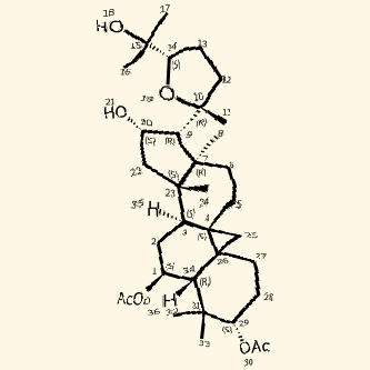 CC(=O)O[C@H]1C[C@@H]2[C@]3(CC[C@]4(C)[C@@H]([C@@]5(C)CC[C@@H](C(C)(C)O)O5)[C@@H](O)C[C@@]24C)CC32CC[C@H](OC(C)=O)C(C)(C)[C@H]12